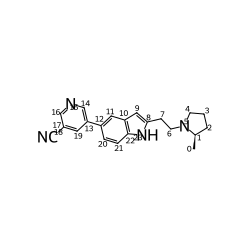 C[C@@H]1CCCN1CCc1cc2cc(-c3cncc(C#N)c3)ccc2[nH]1